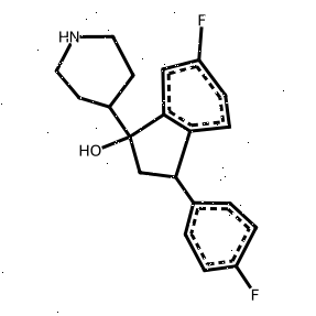 OC1(C2CCNCC2)CC(c2ccc(F)cc2)c2ccc(F)cc21